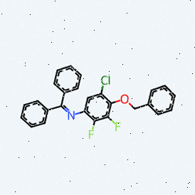 Fc1c(N=C(c2ccccc2)c2ccccc2)cc(Cl)c(OCc2ccccc2)c1F